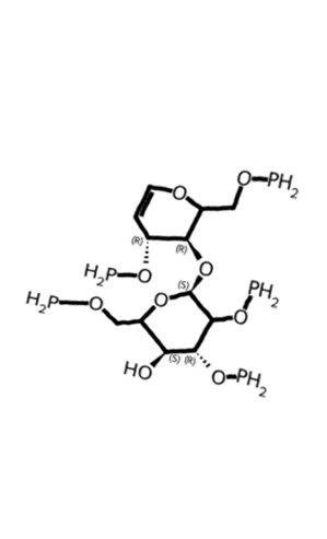 O[C@H]1C(COP)O[C@@H](O[C@@H]2C(COP)OC=C[C@H]2OP)C(OP)[C@@H]1OP